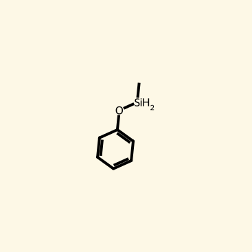 C[SiH2]Oc1ccccc1